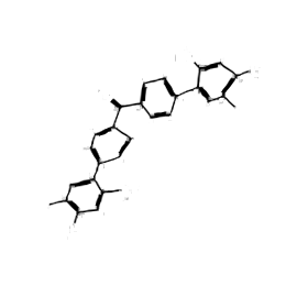 Cc1cc(-c2ccc(C(=O)c3ccc(-c4cc(C)c(Br)cc4O)cc3)cc2)c(O)cc1Br